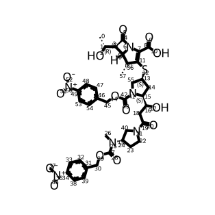 C[C@@H](O)[C@H]1C(=O)N2C(C(=O)O)=C(S[C@H]3C[C@@H](C(O)CC(=O)N4CC[C@H](N(C)C(=O)OCc5ccc([N+](=O)[O-])cc5)C4)N(C(=O)OCc4ccc([N+](=O)[O-])cc4)C3)[C@H](C)[C@H]12